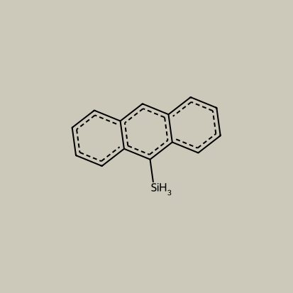 [SiH3]c1c2ccccc2cc2ccccc12